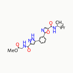 COC(=O)CNC(=O)c1cc(-c2cccc(-c3ncc(C(=O)NC(C)C(C)C)o3)c2)[nH]n1